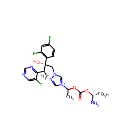 CC(OC(=O)O[C@@H](N)C(=O)O)[n+]1cnn(C[C@](O)(c2ccc(F)cc2F)[C@@H](C)c2ncncc2F)c1